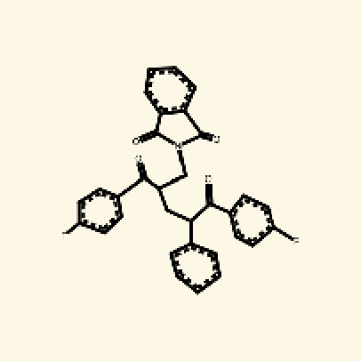 O=C(c1ccc(F)cc1)C(CC(C(=O)c1ccc(F)cc1)c1ccccc1)CN1C(=O)c2ccccc2C1=O